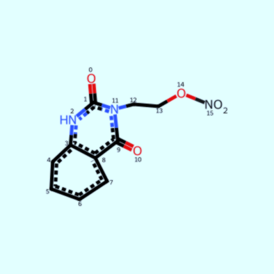 O=c1[nH]c2ccccc2c(=O)n1CCO[N+](=O)[O-]